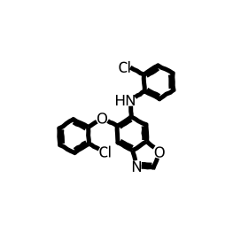 Clc1ccccc1Nc1cc2ocnc2cc1Oc1ccccc1Cl